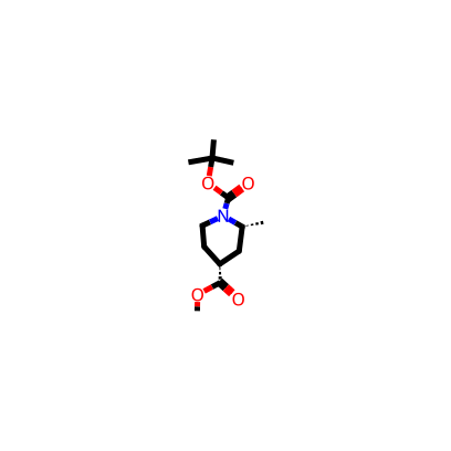 COC(=O)[C@@H]1CCN(C(=O)OC(C)(C)C)[C@H](C)C1